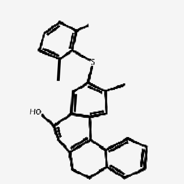 Cc1cc2c3c(cc(O)c2cc1Sc1c(C)cccc1C)CCc1ccccc1-3